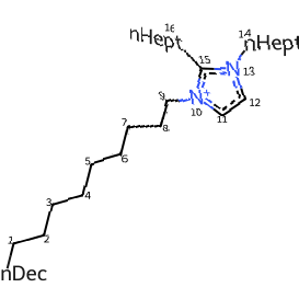 CCCCCCCCCCCCCCCCCCC[n+]1ccn(CCCCCCC)c1CCCCCCC